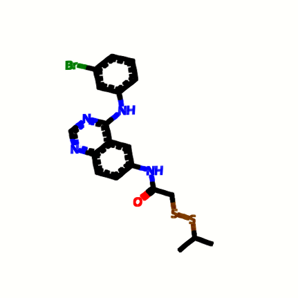 CC(C)SSCC(=O)Nc1ccc2ncnc(Nc3cccc(Br)c3)c2c1